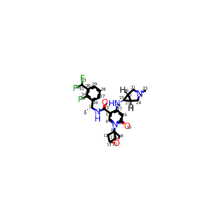 C[C@@H](NC(=O)c1cn(C23COC(C2)C3)c(=O)cc1N[C@@H]1[C@@H]2CN(C)C[C@@H]21)c1cccc(C(F)F)c1F